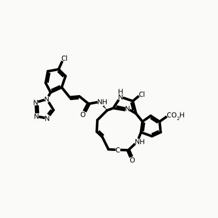 O=C(/C=C/c1cc(Cl)ccc1-n1cnnn1)N[C@H]1C/C=C/CCC(=O)Nc2ccc(C(=O)O)cc2-c2nc1[nH]c2Cl